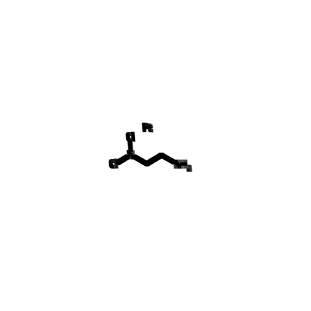 NCCN(Cl)Cl.[Pt]